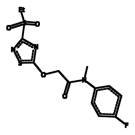 CCS(=O)(=O)c1nsc(OCC(=O)N(C)c2ccc(F)cc2)n1